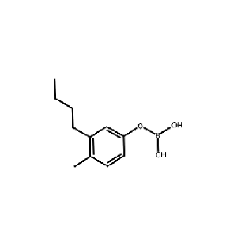 CCCCc1cc(OB(O)O)ccc1C